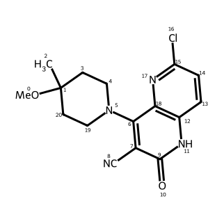 COC1(C)CCN(c2c(C#N)c(=O)[nH]c3ccc(Cl)nc23)CC1